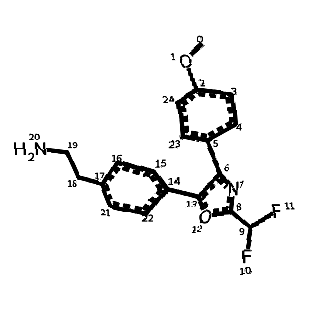 COc1ccc(-c2nc(C(F)F)oc2-c2ccc(CCN)cc2)cc1